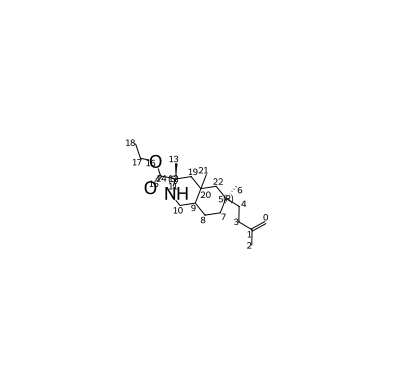 C=C(C)CC[C@@]1(C)CCC2CN[C@](C)(C(=O)OCC)CC2(C)C1